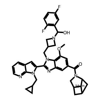 COc1cc(C(=O)N2CC3CC4CC2[C@H]43)cc2nc(-c3cc4cccnc4n3CC3CC3)n(CC3CN(C(O)c4cc(F)ccc4F)C3)c12